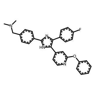 CN(C)Cc1ccc(-c2nc(-c3ccc(F)cc3)c(-c3ccnc(Oc4ccccc4)c3)[nH]2)cc1